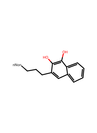 CCCCCCCCCCCCc1cc2ccccc2c(O)c1O